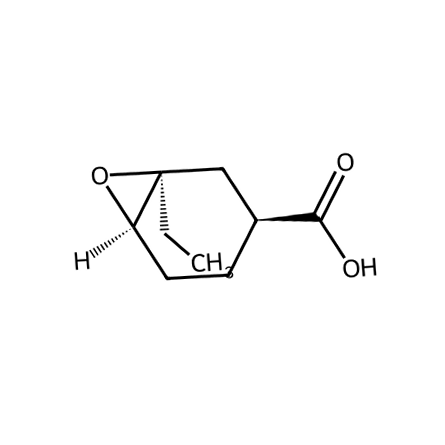 CC[C@]12C[C@@H](C(=O)O)CC[C@H]1O2